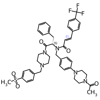 CC(=O)N1CCN(c2ccc(CN(C(=O)/C=C/c3ccc(C(F)(F)F)cc3)[C@@H](Cc3ccccc3)C(=O)N3CCN(Cc4ccc(S(C)(=O)=O)cc4)CC3)cc2)CC1